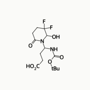 CC(C)(C)OC(=O)NC(CCC(=O)O)N1C(=O)CCC(F)(F)C1O